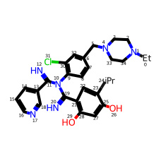 CCN1CCN(Cc2ccc(N(C(=N)c3cccnc3)C(=N)c3cc(C(C)C)c(O)cc3O)c(Cl)c2)CC1